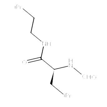 CC(C)CCNC(=O)[C@H](CC(C)C)NC=O